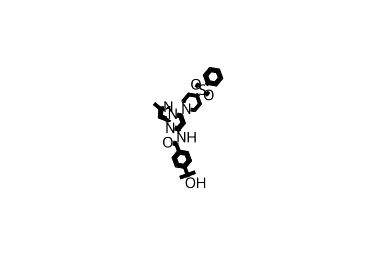 Cc1cc2nc(NC(=O)c3ccc(C(C)(C)O)cc3)cc(N3CCC(S(=O)(=O)c4ccccc4)CC3)n2n1